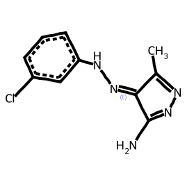 CC1=NN=C(N)/C1=N/Nc1cccc(Cl)c1